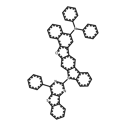 c1ccc(-c2nc(-n3c4ccccc4c4cc5c(cc43)oc3c4ccccc4c(N(c4ccccc4)c4ccccc4)cc53)nc3c2sc2ccccc23)cc1